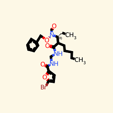 CCCCCC(C(=O)NCNC(=O)c1ccc(Br)o1)[C@@H](CC)N(C=O)OCc1ccccc1